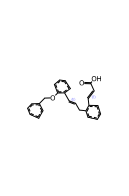 O=C(O)/C=C/c1ccccc1C/C=C/c1ccccc1OCc1ccccc1